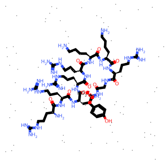 N=C(N)NCCC[C@H](NC(=O)[C@H](CCCCN)NC(=O)[C@H](CCCCN)NC(=O)[C@H](CCCNC(=N)N)NC(=O)[C@H](CCCNC(=N)N)NC(=O)[C@H](CCC(N)=O)NC(=O)[C@H](CCCNC(=N)N)NC(=O)[C@@H](N)CCCNC(=N)N)C(=O)NCC(=O)N[C@@H](Cc1ccc(O)cc1)C(=O)O